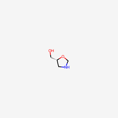 OC[C@H]1CNCO1